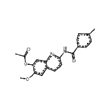 COc1cc2ccc(NC(=O)c3ccc(C)cc3)nc2cc1OC(C)=O